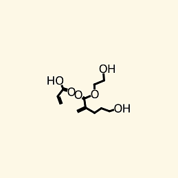 C=C(CCCO)C(=O)OCCO.C=CC(=O)O